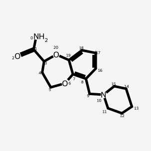 NC(=O)C1CCOc2c(CN3CCCCC3)c[c]cc2O1